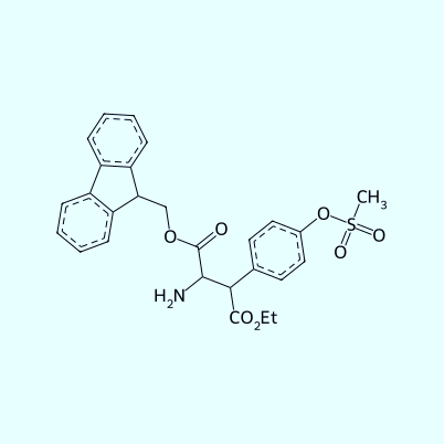 CCOC(=O)C(c1ccc(OS(C)(=O)=O)cc1)C(N)C(=O)OCC1c2ccccc2-c2ccccc21